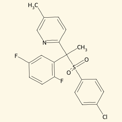 Cc1ccc(C(C)(c2cc(F)ccc2F)S(=O)(=O)c2ccc(Cl)cc2)nc1